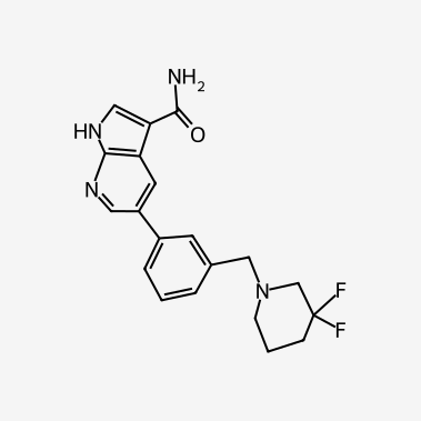 NC(=O)c1c[nH]c2ncc(-c3cccc(CN4CCCC(F)(F)C4)c3)cc12